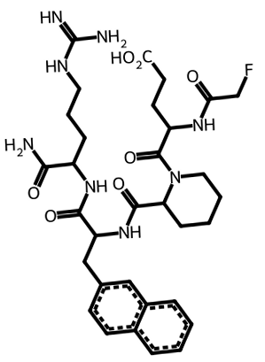 N=C(N)NCCCC(NC(=O)C(Cc1ccc2ccccc2c1)NC(=O)C1CCCCN1C(=O)C(CCC(=O)O)NC(=O)CF)C(N)=O